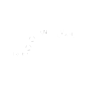 C=CC(=O)OCCCCCC1(C#N)CCCC(c2cccc(-c3ccc(OC(C)CCC)cc3)c2)C1